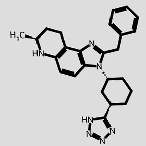 C[C@H]1CCc2c(ccc3c2nc(Cc2ccccc2)n3[C@@H]2CCC[C@@H](c3nnn[nH]3)C2)N1